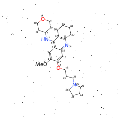 COc1cc2c(NC3CCOCC3)c3c(nc2cc1OCCCN1CCCC1)CCCC3